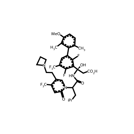 COc1ccc(C)c(-c2cc(C(F)(F)F)c(F)c([C@](O)(CC(=O)O)NC(=O)C(CC(C)C)n3cc(CCN4CCC4)c(C(F)(F)F)cc3=O)c2F)c1C